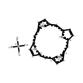 C1=Cc2cc3ccc(cc4nc(cc5ccc(cc1n2)[nH]5)C=C4)[nH]3.F[B-](F)(F)F